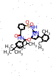 Cc1cccc(C)c1-c1cc2nc(n1)NS(=O)(=O)c1cccc(c1)C(=O)N[C@](c1ccc(C(C)(C)C)cc1)(C(C)C)O2